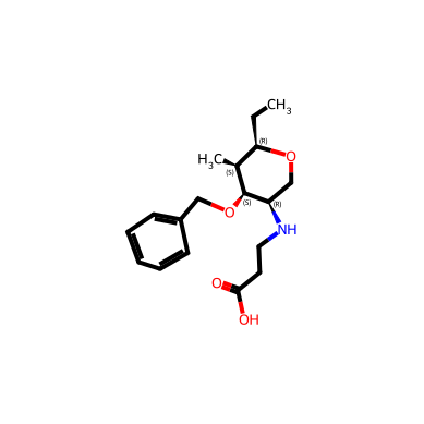 CC[C@H]1OC[C@@H](NCCC(=O)O)[C@@H](OCc2ccccc2)[C@H]1C